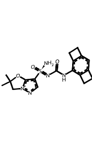 CC1(C)Cn2ncc([S@](N)(=O)=NC(=O)Nc3c4c(cc5c3CC5)CC4)c2O1